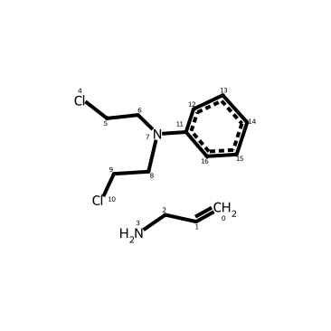 C=CCN.ClCCN(CCCl)c1ccccc1